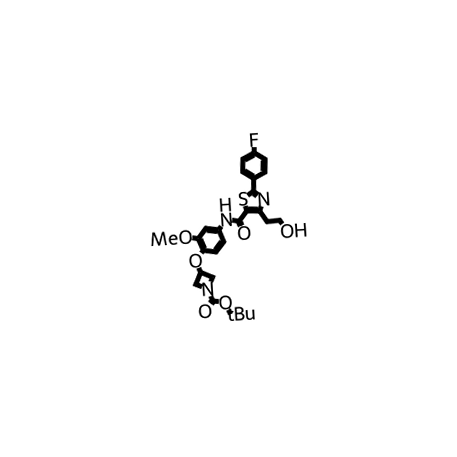 COc1cc(NC(=O)c2sc(-c3ccc(F)cc3)nc2CCO)ccc1OC1CN(C(=O)OC(C)(C)C)C1